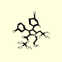 CC(C)(C)CC1C(c2ccc(Cl)cc2F)C(c2cccc(Cl)c2)C(C(=O)OC(C)(C)C)N1CCO